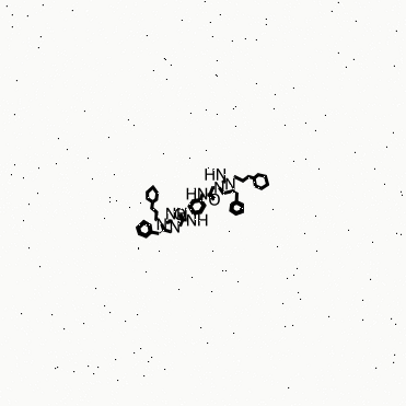 N=C1N(CC(=O)Nc2ccc(NC(=O)CN3C[C@H](Cc4ccccc4)N(CCCC4CCCCC4)C3=N)cc2)C[C@H](Cc2ccccc2)N1CCCC1CCCCC1